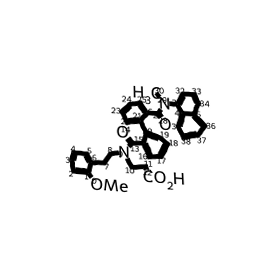 COc1ccccc1CCN(CCC(=O)O)C(=O)c1ccccc1-c1ccccc1C(=O)N(C)c1cccc2ccccc12